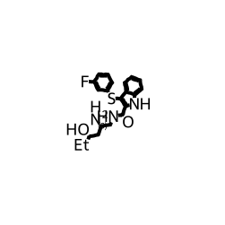 CCC(O)C[C@H](N)CNC(=O)c1[nH]c2ccccc2c1Sc1cccc(F)c1